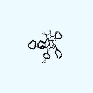 COc1ccc(N2C(=O)C([N+]3(C(=O)OCc4ccccc4)C(c4ccccc4)NC(=O)C3c3ccccc3)C2C=Cc2ccccc2)cc1